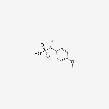 [CH]N(c1ccc(OC)cc1)S(=O)(=O)O